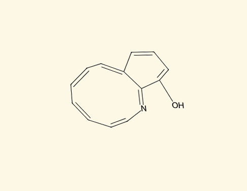 Oc1cccc2cccccccnc12